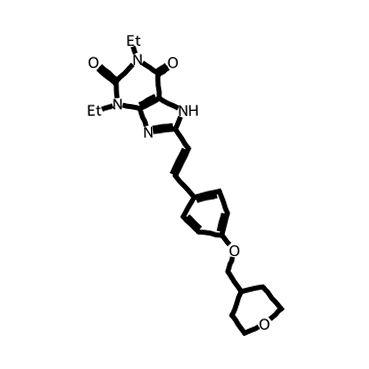 CCn1c(=O)c2[nH]c(C=Cc3ccc(OCC4CCOCC4)cc3)nc2n(CC)c1=O